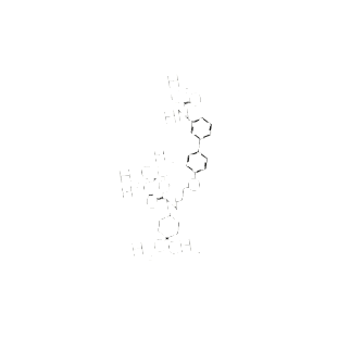 CC(=O)Nc1cccc(-c2ccc(OCCN(C(=O)OC(C)(C)C)C3CCC(C)(C)CC3)cc2)c1